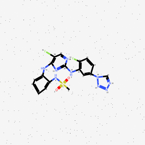 CS(=O)(=O)Nc1ccccc1Nc1nc(Nc2cc(-n3cnnn3)ccc2F)ncc1F